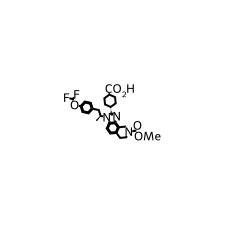 COC(=O)N1CCc2ccc3c(nc([C@H]4CC[C@H](C(=O)O)CC4)n3[C@@H](C)Cc3ccc(OC(F)F)cc3)c2C1